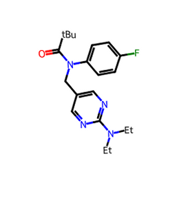 CCN(CC)c1ncc(CN(C(=O)C(C)(C)C)c2ccc(F)cc2)cn1